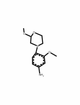 COc1cc(N)ccc1N1CCOC(OC)C1